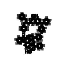 O=C(O)N1CCC(N(c2ccccc2)c2ccccc2)C[C@@H]1CCCN(Cc1ccccc1)Cc1ccccc1.O=C(O)N1CCC(n2c(=O)[nH]c3ccccc32)C(CCCc2ccccc2)[C@H]1N(Cc1ccccc1)Cc1ccccc1